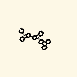 C1=CC2C3=C(CCC=C3)C3=C(C=C(n4c5ccccc5c5cc(-c6ccc7c(c6)c6ccccc6n7C6=CC=NCC6)ccc54)CC3)C2C=C1